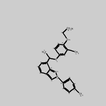 Cc1cc(SC(C)c2cccc3cn(-c4ccc(C(F)(F)F)cc4)nc23)ccc1OCC(=O)O